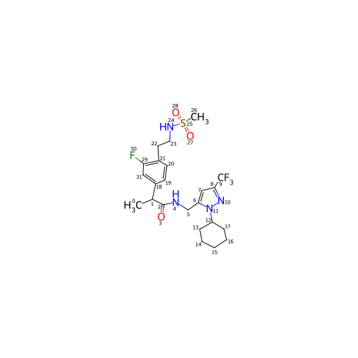 CC(C(=O)NCc1cc(C(F)(F)F)nn1C1CCCCC1)c1ccc(CCNS(C)(=O)=O)c(F)c1